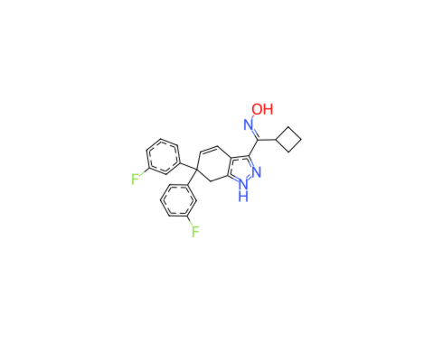 ON=C(c1n[nH]c2c1C=CC(c1cccc(F)c1)(c1cccc(F)c1)C2)C1CCC1